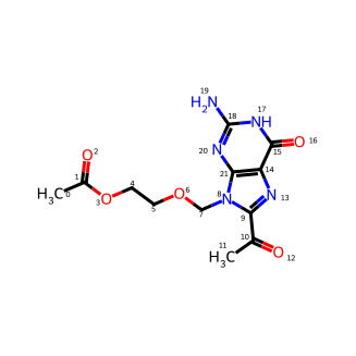 CC(=O)OCCOCn1c(C(C)=O)nc2c(=O)[nH]c(N)nc21